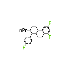 CCCC1CCC2c3cc(F)cc(F)c3CCC2C1c1ccc(F)cc1